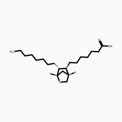 CCCCCCCC[C@@H]1[C@@H](CCCCCCC(=O)O)[C@@H]2CO[C@H]1C2